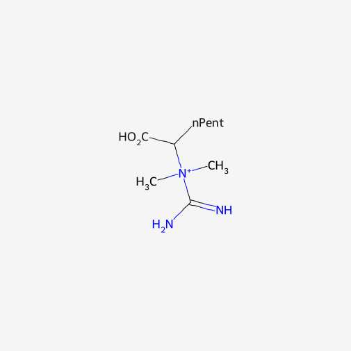 CCCCCC(C(=O)O)[N+](C)(C)C(=N)N